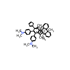 CC1=C(C2=CC=CC2)C(c2ccc(N(C)C)cc2)=C(c2ccc(N(C)C)cc2)C2C(C)C3(C)C4(C)C=CC=CC4(C)C4(C)C=CC=CC4(C)C3(C)C12C